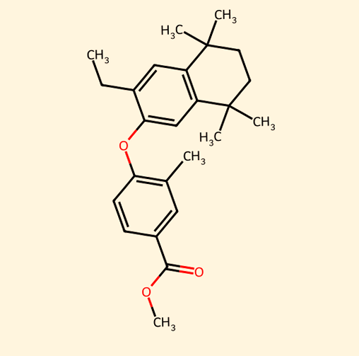 CCc1cc2c(cc1Oc1ccc(C(=O)OC)cc1C)C(C)(C)CCC2(C)C